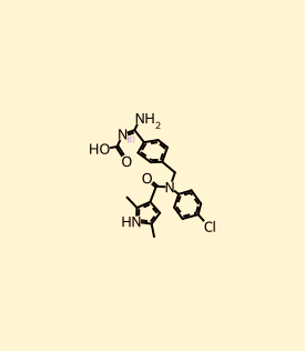 Cc1cc(C(=O)N(Cc2ccc(/C(N)=N\C(=O)O)cc2)c2ccc(Cl)cc2)c(C)[nH]1